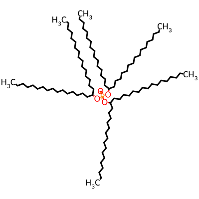 CCCCCCCCCCCCCCCCC(CCCCCCCCCCCCCCCC)OP(=O)(OC(CCCCCCCCCCCCCCCC)CCCCCCCCCCCCCCCC)OC(CCCCCCCCCCCCCCCC)CCCCCCCCCCCCCCCC